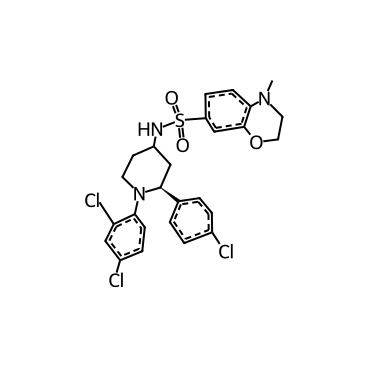 CN1CCOc2cc(S(=O)(=O)NC3CCN(c4ccc(Cl)cc4Cl)[C@H](c4ccc(Cl)cc4)C3)ccc21